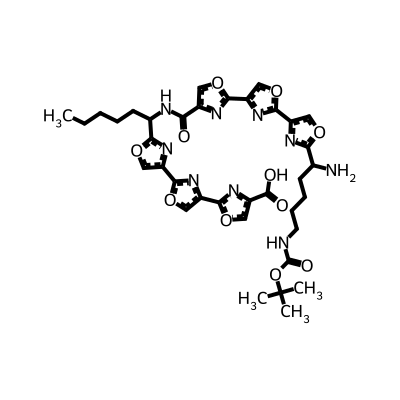 CCCCCC(NC(=O)c1coc(-c2coc(-c3coc(C(N)CCCCNC(=O)OC(C)(C)C)n3)n2)n1)c1nc(-c2nc(-c3nc(C(=O)O)co3)co2)co1